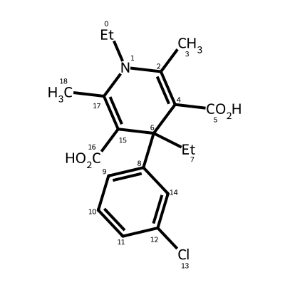 CCN1C(C)=C(C(=O)O)C(CC)(c2cccc(Cl)c2)C(C(=O)O)=C1C